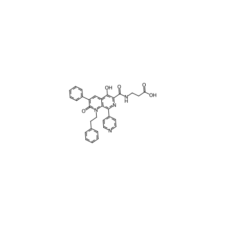 O=C(O)CCNC(=O)c1nc(-c2ccncc2)c2c(cc(-c3ccccc3)c(=O)n2CCc2ccccc2)c1O